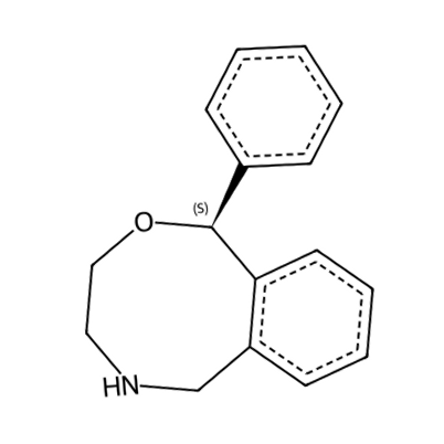 c1ccc([C@@H]2OCCNCc3ccccc32)cc1